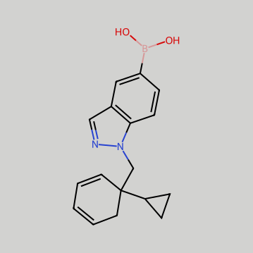 OB(O)c1ccc2c(cnn2CC2(C3CC3)C=CC=CC2)c1